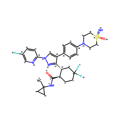 N#CC1(NC(=O)[C@@H]2CCC(F)(F)C[C@H]2c2nn(-c3ccc(F)cn3)cc2-c2ccc(N3CCS(=N)(=O)CC3)cc2)CC1